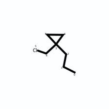 CCCC1(CCl)CC1